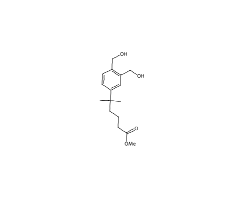 COC(=O)CCCC(C)(C)c1ccc(CO)c(CO)c1